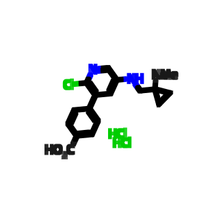 CNC1(CNc2cnc(Cl)c(-c3ccc(C(=O)O)cc3)c2)CC1.Cl.Cl